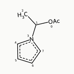 CC(=O)OC(C)n1cccc1